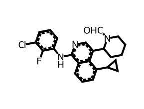 O=CN1CCCCC1c1cnc(Nc2cccc(Cl)c2F)c2cccc(C3CC3)c12